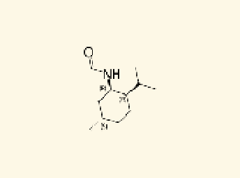 CC(C)[C@H]1CC[C@H](C)C[C@H]1NC=O